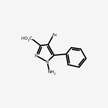 CC(=O)c1c(C(=O)O)nn(N)c1-c1ccccc1